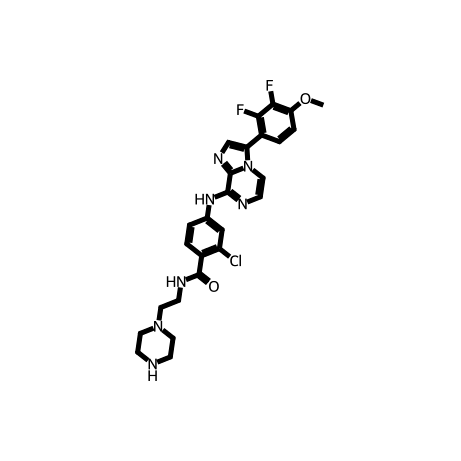 COc1ccc(-c2cnc3c(Nc4ccc(C(=O)NCCN5CCNCC5)c(Cl)c4)nccn23)c(F)c1F